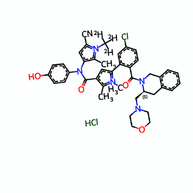 Cl.[2H]C([2H])([2H])n1c(C#N)cc(N(C(=O)c2cc(-c3cc(Cl)ccc3C(=O)N3Cc4ccccc4C[C@H]3CN3CCOCC3)n(C)c2C)c2ccc(O)cc2)c1C